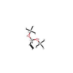 C=C[SiH](O[Si](C)(C)C)O[Si](C)(C)C